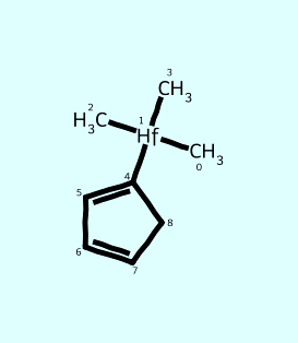 [CH3][Hf]([CH3])([CH3])[C]1=CC=CC1